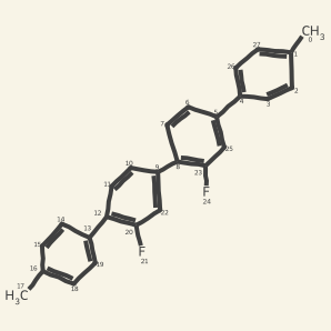 Cc1ccc(-c2ccc(-c3ccc(-c4ccc(C)cc4)c(F)c3)c(F)c2)cc1